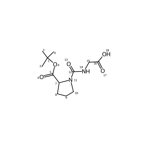 CC(C)(C)OC(=O)C1CCCN1C(=O)NCC(=O)O